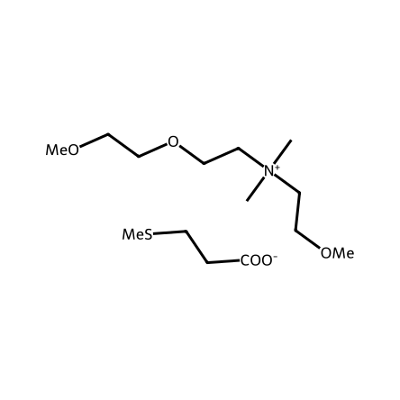 COCCOCC[N+](C)(C)CCOC.CSCCC(=O)[O-]